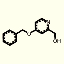 OCc1cc(OCc2ccccc2)ccn1